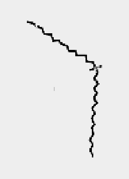 CCCCCCCCCCCCCCCCC[N+](C)(C)CCCCCCCCCCCCCCCC.[I-]